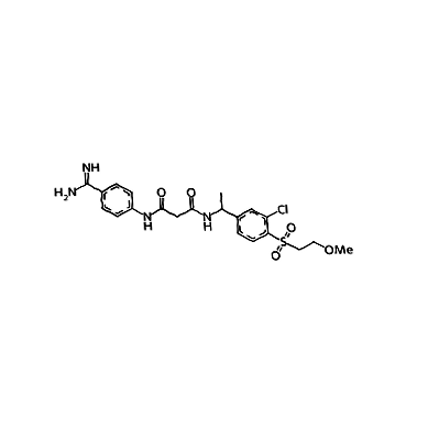 COCCS(=O)(=O)c1ccc(C(C)NC(=O)CC(=O)Nc2ccc(C(=N)N)cc2)cc1Cl